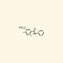 CCOC(=O)c1cc(C(=O)Nc2ccccc2)c(C)nc1C